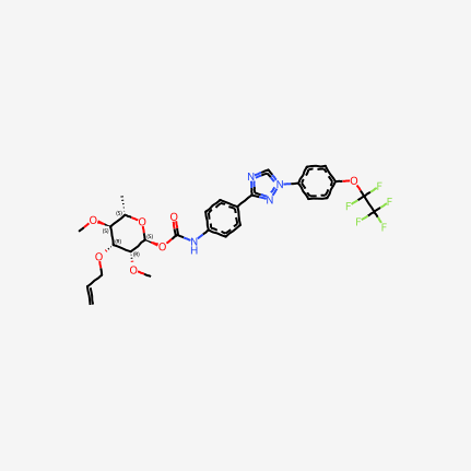 C=CCO[C@@H]1[C@@H](OC)[C@H](C)O[C@@H](OC(=O)Nc2ccc(-c3ncn(-c4ccc(OC(F)(F)C(F)(F)F)cc4)n3)cc2)[C@@H]1OC